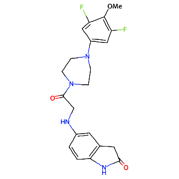 COc1c(F)cc(N2CCN(C(=O)CNc3ccc4c(c3)CC(=O)N4)CC2)cc1F